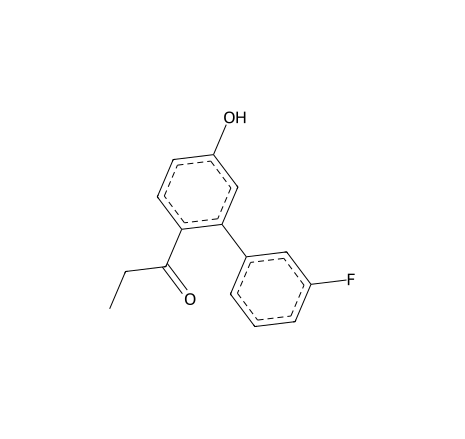 CCC(=O)c1ccc(O)cc1-c1cccc(F)c1